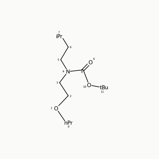 CCCOCCN(CCC(C)C)C(=O)OC(C)(C)C